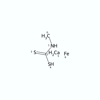 CNC(=S)S.[CaH2].[Fe]